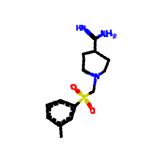 Cc1cccc(S(=O)(=O)CN2CCC(C(=N)N)CC2)c1